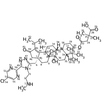 CNCCn1c(C[C@@]23CC[C@]4(C)[C@H](CC[C@@H]5[C@@]6(C)CC[C@H](OC(=O)CC(C)(C)C(=O)O)C(C)(C)[C@@H]6CC[C@]54C)C2=C(C(C)C)C(=O)C3)nnc1-c1ncc(Cl)cn1